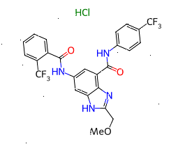 COCc1nc2c(C(=O)Nc3ccc(C(F)(F)F)cc3)cc(NC(=O)c3ccccc3C(F)(F)F)cc2[nH]1.Cl